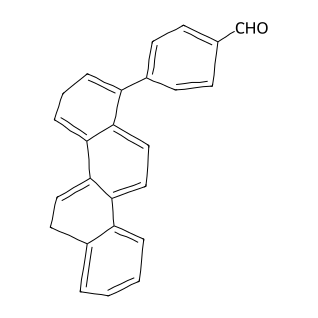 O=Cc1ccc(C2=CCC=c3c2ccc2c3=CCc3ccccc3-2)cc1